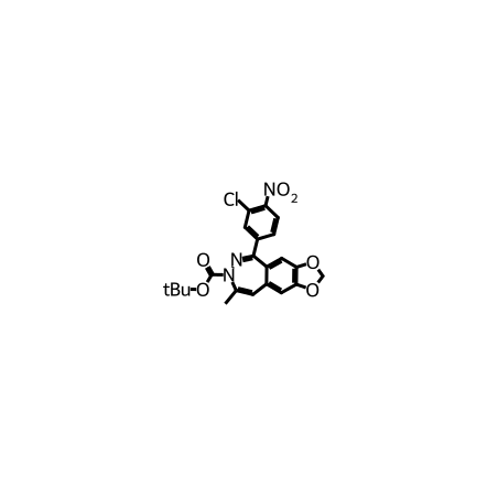 CC1=Cc2cc3c(cc2C(c2ccc([N+](=O)[O-])c(Cl)c2)=NN1C(=O)OC(C)(C)C)OCO3